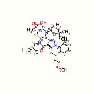 COCCCCc1c(C(=O)N(CC(C)C)[C@@H]2CN(C(=O)OC(C)(C)C)C[C@](C)(C(=O)O)C2)nnn1-c1ccccc1C